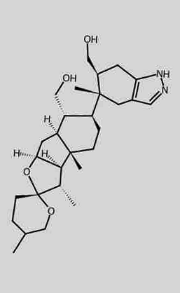 CC1CC[C@@]2(OC1)O[C@H]1C[C@H]3[C@H](CO)[C@@H]([C@@]4(C)Cc5cn[nH]c5C[C@@H]4CO)CC[C@]3(C)[C@H]1[C@@H]2C